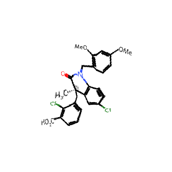 COc1ccc(CN2C(=O)[C@](C)(c3cccc(C(=O)O)c3Cl)c3cc(Cl)ccc32)c(OC)c1